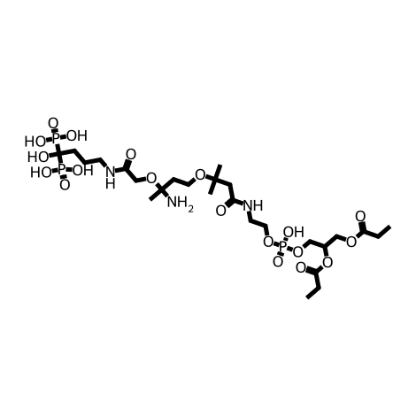 CCC(=O)OCC(COP(=O)(O)OCCNC(=O)CC(C)(C)OCCC(C)(N)OCC(=O)NCCCC(O)(P(=O)(O)O)P(=O)(O)O)OC(=O)CC